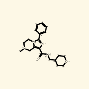 CN1CCn2c(-c3ccccc3)nc(C(=O)NCC3CCOCC3)c2C1